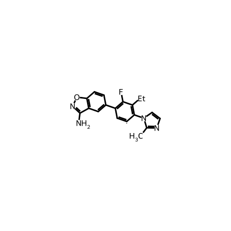 CCc1c(-n2ccnc2C)[c]cc(-c2ccc3onc(N)c3c2)c1F